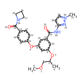 COCC(C)Oc1cc(Oc2ccc(C(=O)N3CCC3)cc2)cc(C(=O)Nc2ccn(C)n2)c1